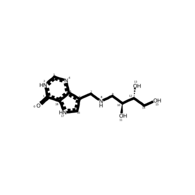 O=c1[nH]cnc2c(CNC[C@H](O)[C@H](O)CO)c[nH]c12